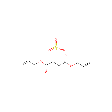 C=CCOC(=O)CCC(=O)OCC=C.O=[SH](=O)O